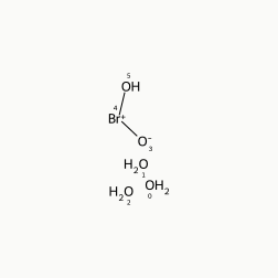 O.O.O.[O-][Br+]O